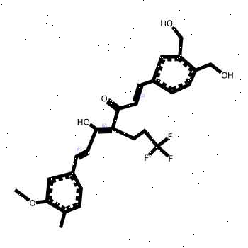 COc1cc(/C=C/C(O)=C(\CCC(F)(F)F)C(=O)/C=C/c2ccc(CO)c(CO)c2)ccc1C